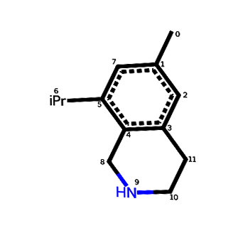 Cc1cc2c(c(C(C)C)c1)CNCC2